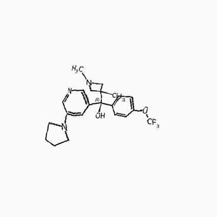 CN1CC(C)([C@](O)(c2ccc(OC(F)(F)F)cc2)c2cncc(N3CCCC3)c2)C1